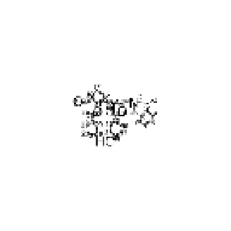 CCCN(Cc1ccccc1)CC(COc1cccc2c(=O)cc(-c3ccccc3)oc12)OC(=O)c1ccccc1.Cl